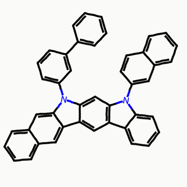 c1ccc(-c2cccc(-n3c4cc5ccccc5cc4c4cc5c6ccccc6n(-c6ccc7ccccc7c6)c5cc43)c2)cc1